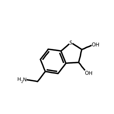 NCc1ccc2c(c1)C(O)C(O)S2